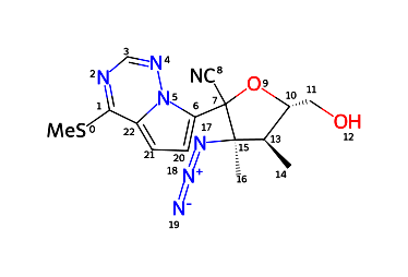 CSc1ncnn2c(C3(C#N)O[C@H](CO)[C@@H](C)[C@@]3(C)N=[N+]=[N-])ccc12